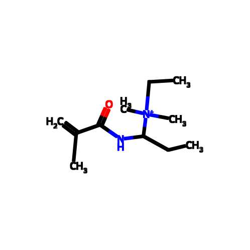 C=C(C)C(=O)NC(CC)[N+](C)(C)CC